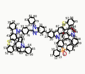 O=P(c1ccccc1)(c1ccccc1)c1ccc(-n2c3ccc(-c4ccc5c(c4)nc(-c4ccc(-n6c7ccccc7c7cc8c(cc76)C6(c7ccccc7S8)c7ccccc7-n7c8ccccc8c8cccc6c87)cc4)n5-c4ccccc4)cc3c3cc4c(cc32)C2(c3ccccc3S4)c3ccccc3-n3c4ccccc4c4cccc2c43)cc1